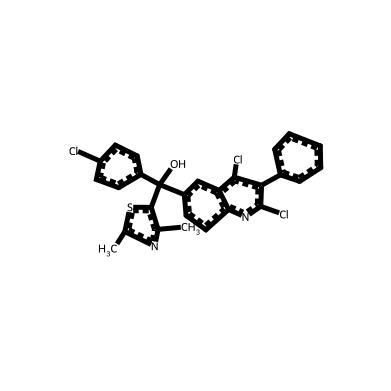 Cc1nc(C)c(C(O)(c2ccc(Cl)cc2)c2ccc3nc(Cl)c(-c4ccccc4)c(Cl)c3c2)s1